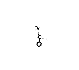 CC(C)C(F)(F)OCc1cc(-c2ccccc2)n(C)n1